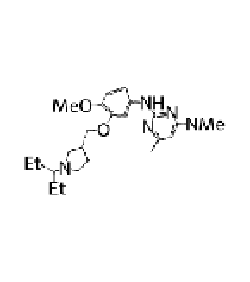 CCC(CC)N1CCC(COc2cc(Nc3nc(C)cc(NC)n3)ccc2OC)C1